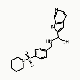 O=S(=O)(c1ccc(CNC(O)c2cc3ccncc3[nH]2)cc1)N1CCCCC1